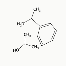 CC(C)O.CC(N)c1ccccc1